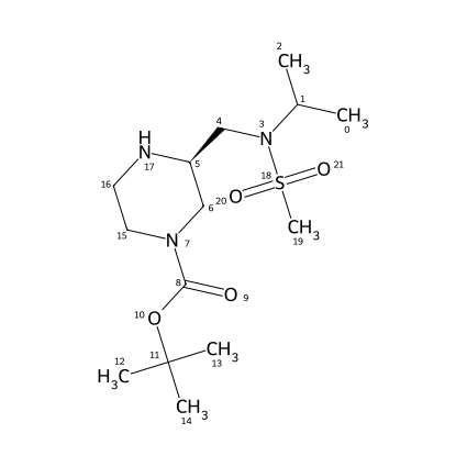 CC(C)N(C[C@H]1CN(C(=O)OC(C)(C)C)CCN1)S(C)(=O)=O